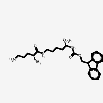 NCCC[C@H](N)C(=O)NCCCC[C@H](NC(=O)OCC1c2ccccc2-c2ccccc21)C(=O)O